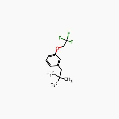 CC(C)(C)Cc1cccc(OCC(F)(F)F)c1